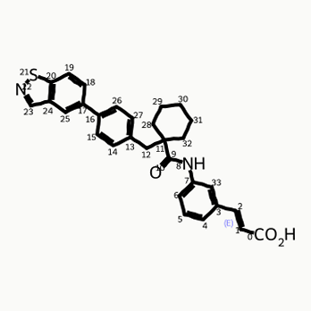 O=C(O)/C=C/c1cccc(NC(=O)C2(Cc3ccc(-c4ccc5sncc5c4)cc3)CCCCC2)c1